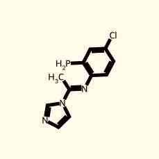 C/C(=N\c1ccc(Cl)cc1P)n1ccnc1